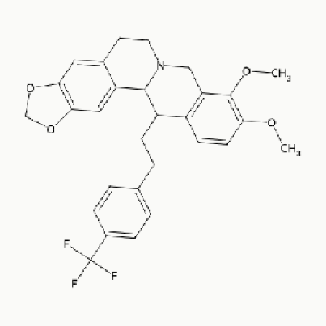 COc1ccc2c(c1OC)CN1CCc3cc4c(cc3C1C2CCc1ccc(C(F)(F)F)cc1)OCO4